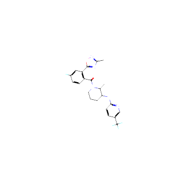 Cc1noc(-c2cc(F)ccc2C(=O)N2CCCC(Nc3ccc(C(F)(F)F)cn3)C2C)n1